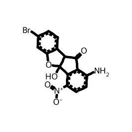 Nc1ccc([N+](=O)[O-])c2c1C(=O)C1c3ccc(Br)cc3OC21O